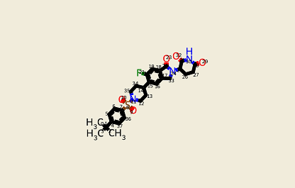 CC(C)(C)c1ccc(S(=O)(=O)N2CCC(c3cc4c(cc3F)C(=O)N(C3CCC(=O)NC3=O)C4)CC2)cc1